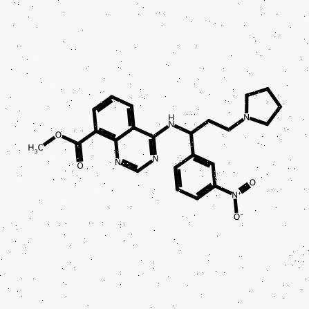 COC(=O)c1cccc2c(NC(CCN3CCCC3)c3cccc([N+](=O)[O-])c3)ncnc12